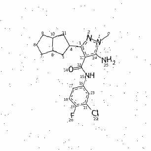 Cn1nc(C2CC3CCCC3C2)c(C(=O)Nc2ccc(F)c(Cl)c2)c1N